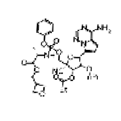 CCCO[C@H]1[C@H](c2ccc3c(N)ncnn23)O[C@](C#N)(CO[P@@](=O)(N[C@@H](C)C(=O)OCC2COC2)Oc2ccccc2)[C@H]1OC(=O)CC